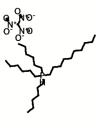 CCCCCCCCCC[PH](CCCCCC)(CCCCCC)CCCCCC.O=[N+]([O-])C([N+](=O)[O-])[N+](=O)[O-]